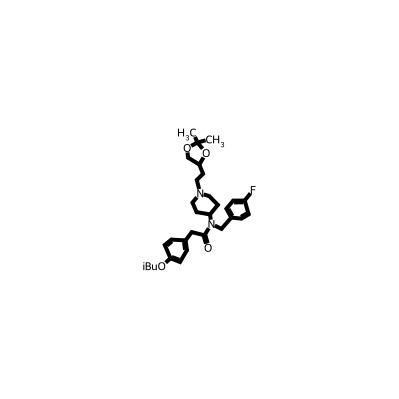 CC(C)COc1ccc(CC(=O)N(Cc2ccc(F)cc2)C2CCN(CCC3COC(C)(C)O3)CC2)cc1